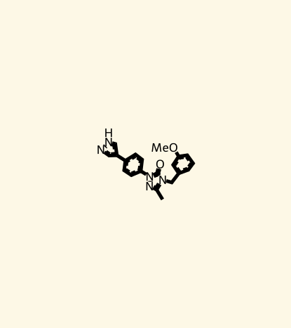 COc1cccc(Cn2c(C)nn(-c3ccc(-c4cn[nH]c4)cc3)c2=O)c1